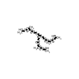 CC(O)COC(=O)OC(C)COC(=O)OCCOCC(COCCOC(=O)OCC(C)OC(=O)OCC(C)O)OCCOC(=O)OCC(C)OC(=O)OCC(C)O